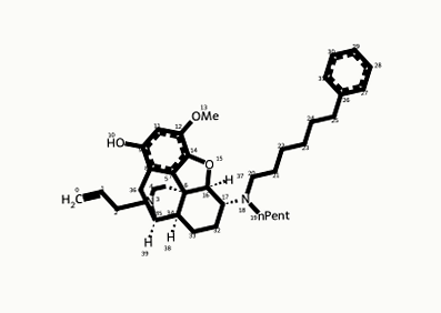 C=CCN1CC[C@]23c4c5c(O)cc(OC)c4O[C@H]2[C@H](N(CCCCC)CCCCCCc2ccccc2)CC[C@H]3[C@H]1C5